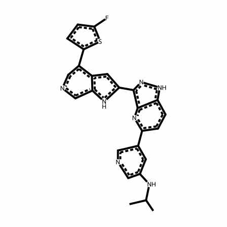 CC(C)Nc1cncc(-c2ccc3[nH]nc(-c4cc5c(-c6ccc(F)s6)cncc5[nH]4)c3n2)c1